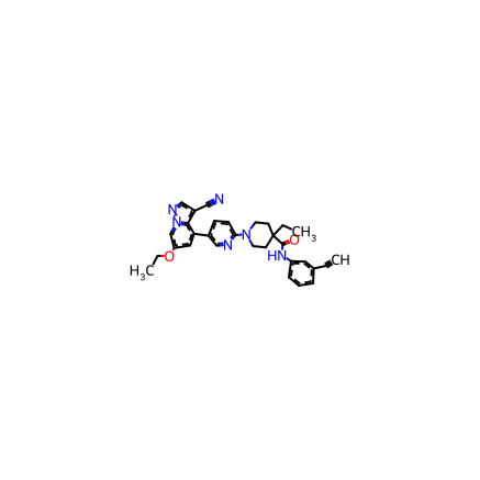 C#Cc1cccc(NC(=O)C2(CC)CCN(c3ccc(-c4cc(OCC)cn5ncc(C#N)c45)cn3)CC2)c1